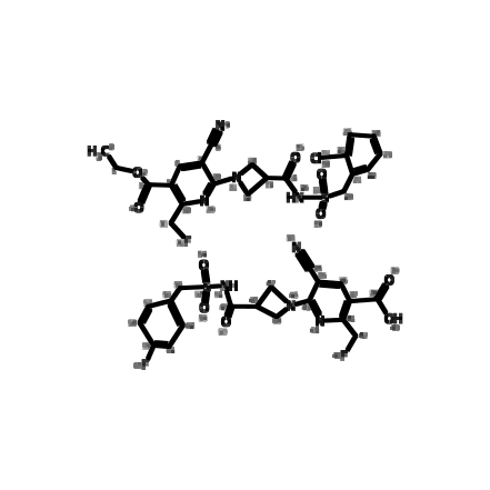 CCOC(=O)c1cc(C#N)c(N2CC(C(=O)NS(=O)(=O)Cc3ccccc3Cl)C2)nc1CF.N#Cc1cc(C(=O)O)c(CF)nc1N1CC(C(=O)NS(=O)(=O)Cc2ccc(F)cc2)C1